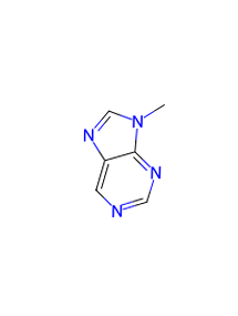 Cn1cnc2cncnc21